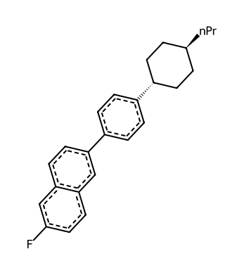 CCC[C@H]1CC[C@H](c2ccc(-c3ccc4cc(F)ccc4c3)cc2)CC1